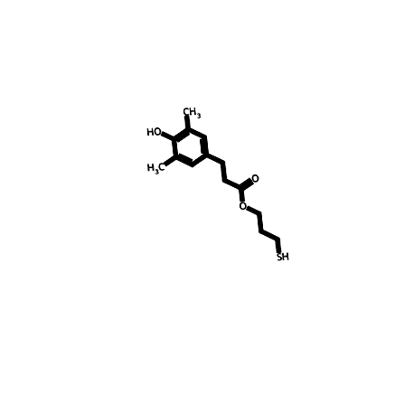 Cc1cc(CCC(=O)OCCCS)cc(C)c1O